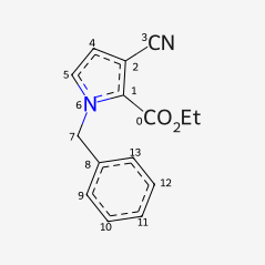 CCOC(=O)c1c(C#N)ccn1Cc1ccccc1